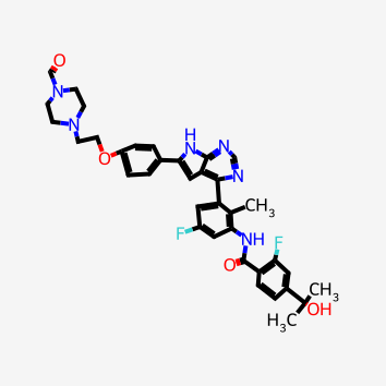 Cc1c(NC(=O)c2ccc(C(C)(C)O)cc2F)cc(F)cc1-c1ncnc2[nH]c(-c3ccc(OCCN4CCN(C=O)CC4)cc3)cc12